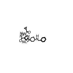 N#CC[C@]1(n2cc(C(N)=O)c(NC(=O)C3CC3)n2)CC[C@H](NCc2ccccc2)CC1